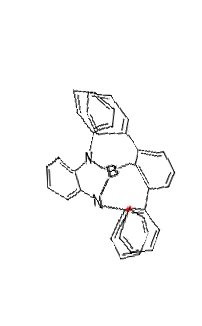 c1ccc(-c2cccc(-c3ccccc3)c2B2N(c3ccccc3)c3ccccc3N2c2ccccc2)cc1